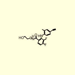 C#Cc1ccc(Nc2c(C(=O)NOCCO)ccc(F)c2F)c(C)c1